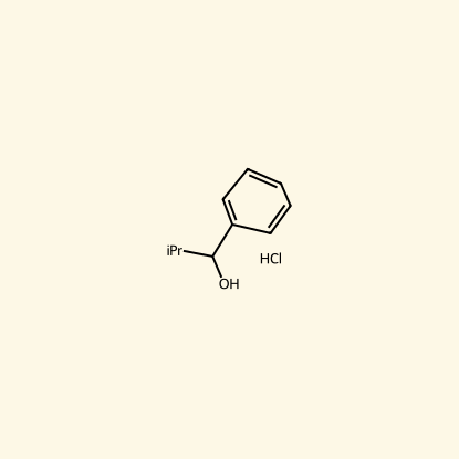 CC(C)C(O)c1ccccc1.Cl